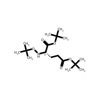 CC(C)(C)ON[C@@H](CCC(=O)OC(C)(C)C)C(=O)OC(C)(C)C